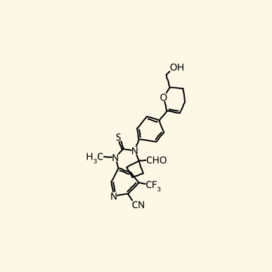 CN(C(=S)N(c1ccc(C2=CCCC(CO)O2)cc1)C1(C=O)CCC1)c1cnc(C#N)c(C(F)(F)F)c1